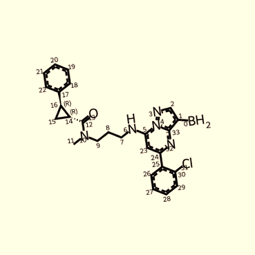 Bc1cnn2c(NCCCN(C)C(=O)[C@@H]3C[C@H]3c3ccccc3)cc(-c3ccccc3Cl)nc12